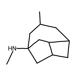 CNC12CC(C)CC3CC(C1)C3C2